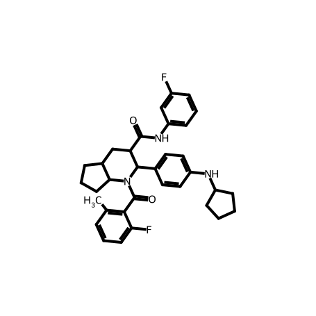 Cc1cccc(F)c1C(=O)N1C2CCCC2CC(C(=O)Nc2cccc(F)c2)C1c1ccc(NC2CCCC2)cc1